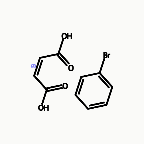 Brc1ccccc1.O=C(O)/C=C\C(=O)O